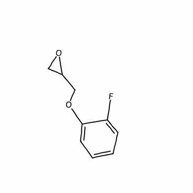 Fc1ccccc1OCC1CO1